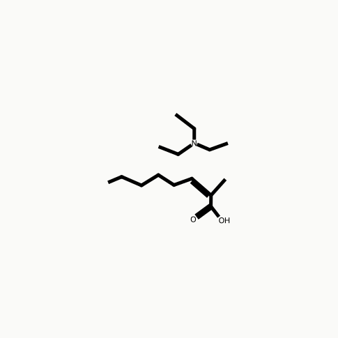 CCCCC/C=C(/C)C(=O)O.CCN(CC)CC